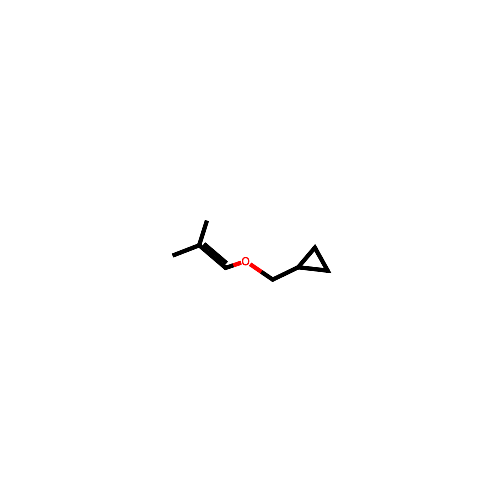 CC(C)=COCC1CC1